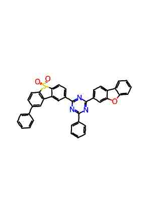 O=S1(=O)c2ccc(-c3ccccc3)cc2-c2cc(-c3nc(-c4ccccc4)nc(-c4ccc5c(c4)oc4ccccc45)n3)ccc21